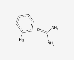 NC(N)=O.[Hg][c]1ccccc1